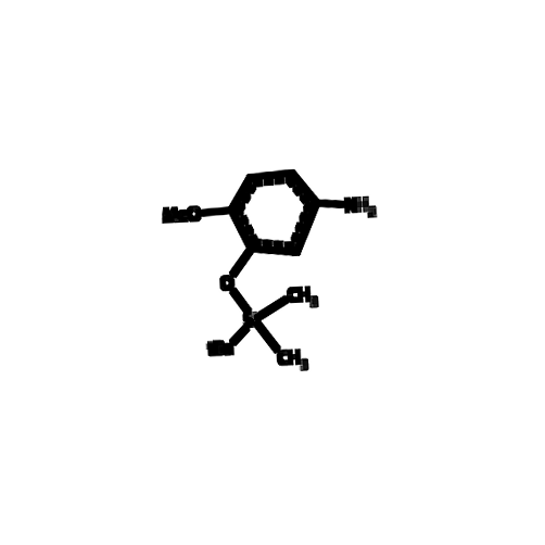 COc1ccc(N)cc1O[Si](C)(C)C(C)(C)C